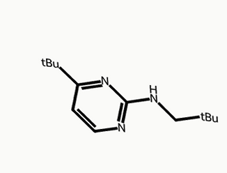 CC(C)(C)CNc1nccc(C(C)(C)C)n1